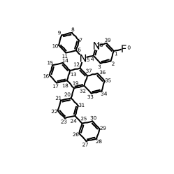 Fc1ccc(N(c2ccccc2)c2c3ccccc3c(-c3cccc(-c4ccccc4)c3)c3ccccc23)nc1